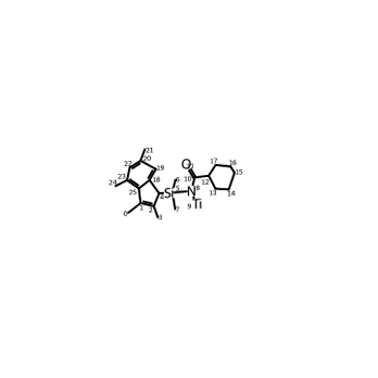 CC1=C(C)C([Si](C)(C)[N]([Ti])C(=O)C2CCCCC2)c2cc(C)cc(C)c21